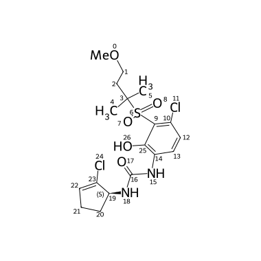 COCCC(C)(C)S(=O)(=O)c1c(Cl)ccc(NC(=O)N[C@H]2CCC=C2Cl)c1O